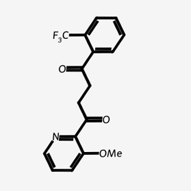 COc1cccnc1C(=O)CCC(=O)c1ccccc1C(F)(F)F